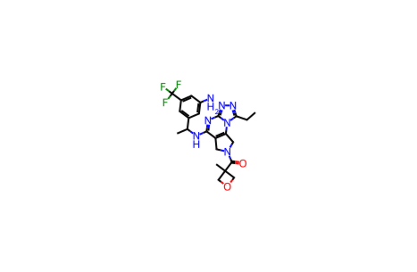 CCc1nnc2nc(NC(C)c3cc(N)cc(C(F)(F)F)c3)c3c(n12)CN(C(=O)C1(C)COC1)C3